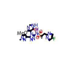 COc1nc[nH]c(=O)c1-n1c(NS(=O)(=O)[C@H](C)Cc2ncc(F)cn2)nnc1-c1ccn(C)n1